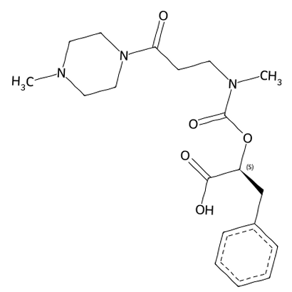 CN1CCN(C(=O)CCN(C)C(=O)O[C@@H](Cc2ccccc2)C(=O)O)CC1